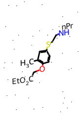 CCCNCCSc1ccc(OCC(=O)OCC)c(C)c1